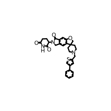 O=C1CCC(N2Cc3cc4c(cc3C2=O)OCC42CCN(Cc3cc(-c4ccccc4)cs3)CC2)C(=O)N1